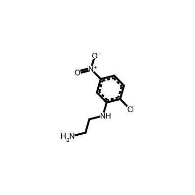 NCCNc1cc([N+](=O)[O-])ccc1Cl